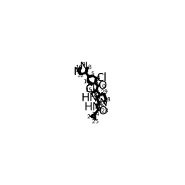 O=C(c1c(Cl)cc(-c2cncnc2)cc1Cl)c1c[nH]c2c(NC(=O)C3CC3)nccc12